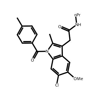 CCCNC(=O)Cc1c(C)n(C(=O)c2ccc(C)cc2)c2cc(Cl)c(OC)cc12